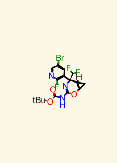 CC(C)(C)OC(=O)NC1=N[C@@](c2cc(Br)cnc2F)(C(F)F)[C@H]2CC2O1